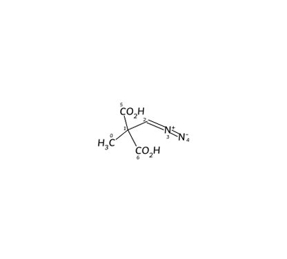 CC(C=[N+]=[N-])(C(=O)O)C(=O)O